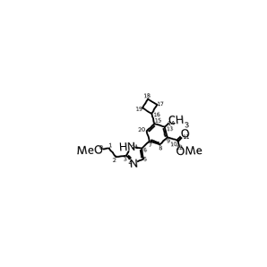 COCCc1ncc(-c2cc(C(=O)OC)c(C)c(C3CCC3)c2)[nH]1